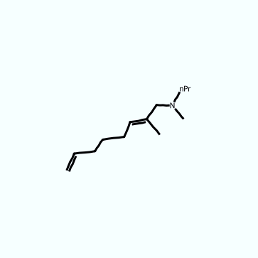 C=CCCC/C=C(\C)CN(C)CCC